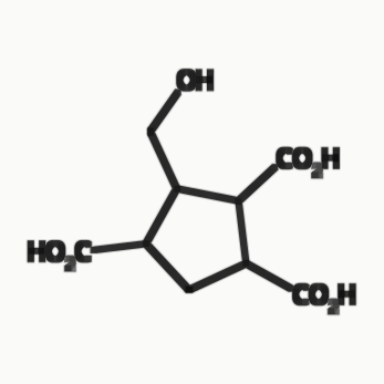 O=C(O)C1CC(C(=O)O)C(C(=O)O)C1CO